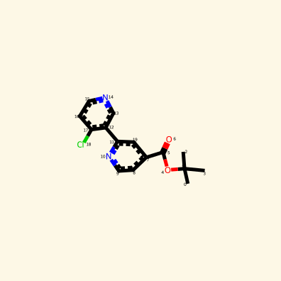 CC(C)(C)OC(=O)c1ccnc(-c2cnccc2Cl)c1